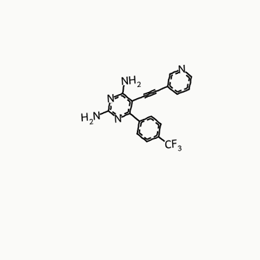 Nc1nc(N)c(C#Cc2cccnc2)c(-c2ccc(C(F)(F)F)cc2)n1